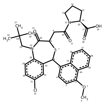 COc1ccc(C2SC(CC(=O)N3CCC[C@H]3C(=O)O)C(=O)N(CC(C)(C)C)c3ccc(Cl)cc32)c2ccccc12